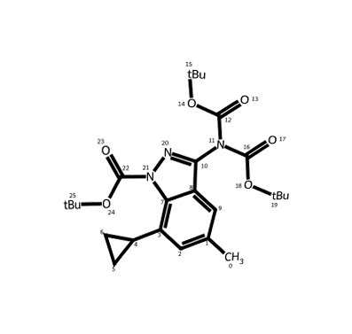 Cc1cc(C2CC2)c2c(c1)c(N(C(=O)OC(C)(C)C)C(=O)OC(C)(C)C)nn2C(=O)OC(C)(C)C